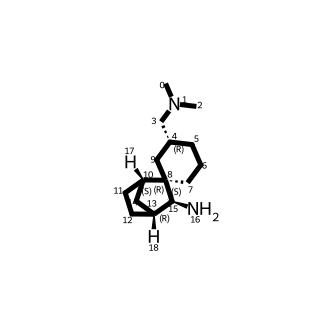 CN(C)C[C@@H]1CCC[C@@]2(C1)[C@H]1CC[C@H](C1)[C@@H]2N